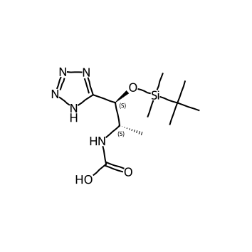 C[C@H](NC(=O)O)[C@H](O[Si](C)(C)C(C)(C)C)c1nnn[nH]1